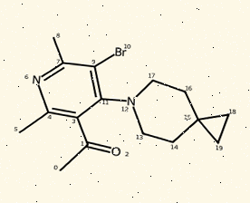 CC(=O)c1c(C)nc(C)c(Br)c1N1CCC2(CC1)CC2